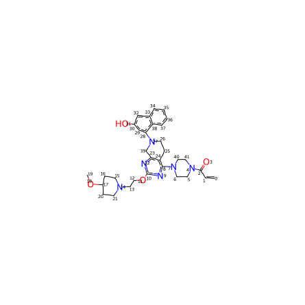 C=CC(=O)N1CCN(c2nc(OCCN3CCC(OC)CC3)nc3c2CCN(c2cc(O)cc4ccccc24)C3)CC1